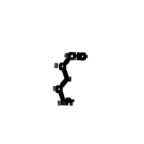 CCCOCO[C]=O